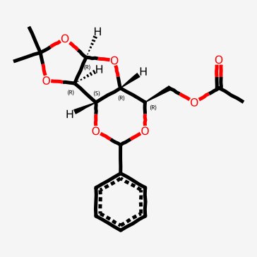 CC(=O)OC[C@H]1OC(c2ccccc2)O[C@@H]2[C@H]3OC(C)(C)O[C@H]3O[C@@H]21